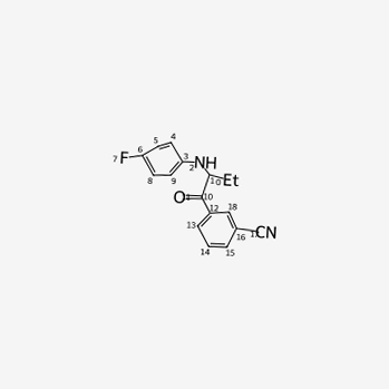 CCC(Nc1ccc(F)cc1)C(=O)c1cccc(C#N)c1